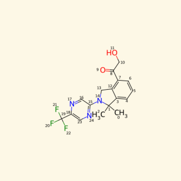 CC1(C)c2cccc(C(=O)CO)c2CN1c1cnc(C(F)(F)F)cn1